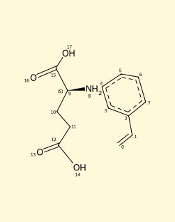 C=Cc1ccccc1.N[C@@H](CCC(=O)O)C(=O)O